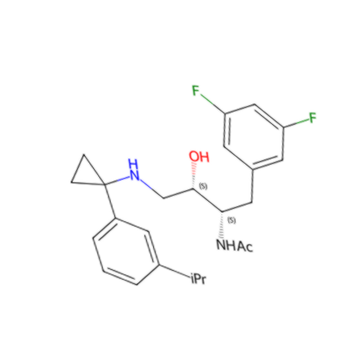 CC(=O)N[C@@H](Cc1cc(F)cc(F)c1)[C@@H](O)CNC1(c2cccc(C(C)C)c2)CC1